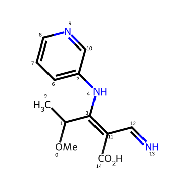 COC(C)/C(Nc1cccnc1)=C(/C=N)C(=O)O